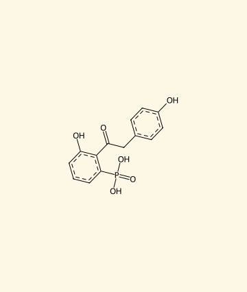 O=C(Cc1ccc(O)cc1)c1c(O)cccc1P(=O)(O)O